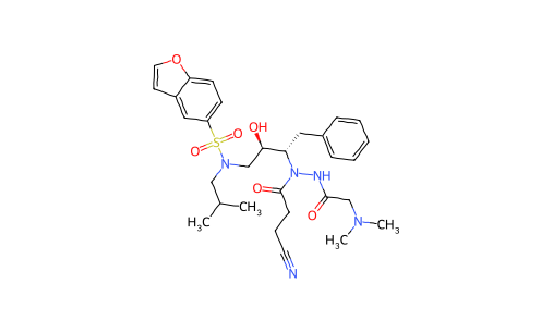 CC(C)CN(C[C@@H](O)[C@H](Cc1ccccc1)N(NC(=O)CN(C)C)C(=O)CCC#N)S(=O)(=O)c1ccc2occc2c1